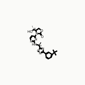 C[C@H](Nc1nccc(N2C(=O)OCC2[C@@H](C)O)n1)c1nc(-c2cccc(C(C)(C)C)c2)no1